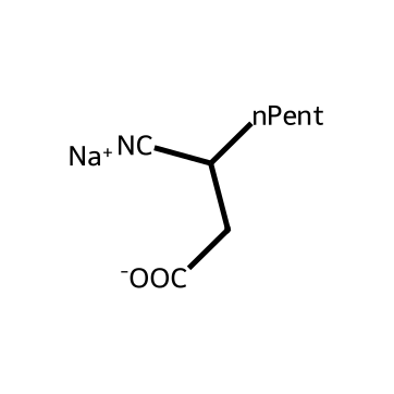 CCCCCC(C#N)CC(=O)[O-].[Na+]